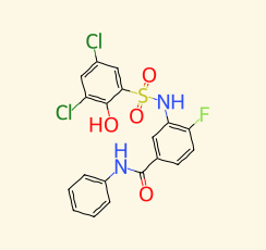 O=C(Nc1ccccc1)c1ccc(F)c(NS(=O)(=O)c2cc(Cl)cc(Cl)c2O)c1